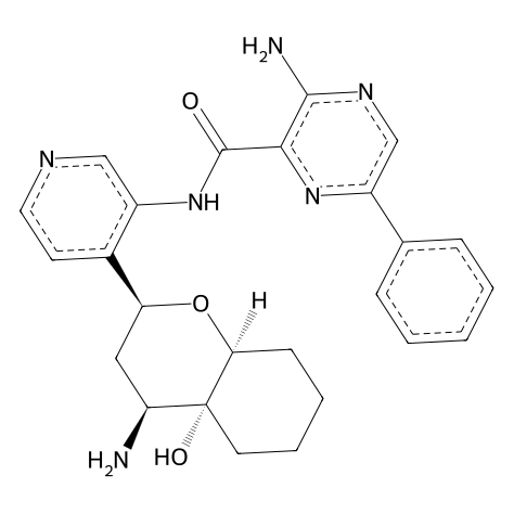 Nc1ncc(-c2ccccc2)nc1C(=O)Nc1cnccc1[C@@H]1C[C@H](N)[C@]2(O)CCCC[C@@H]2O1